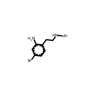 CCCNCCc1ccc(Br)cc1N